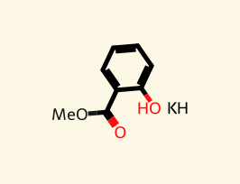 COC(=O)c1ccccc1O.[KH]